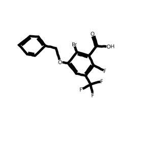 O=C(O)c1c(F)c(C(F)(F)F)cc(OCc2ccccc2)c1Br